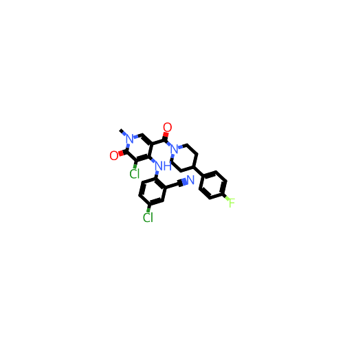 Cn1cc(C(=O)N2CCC(c3ccc(F)cc3)CC2)c(Nc2ccc(Cl)cc2C#N)c(Cl)c1=O